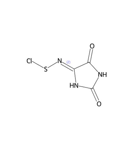 O=C1NC(=O)/C(=N/SCl)N1